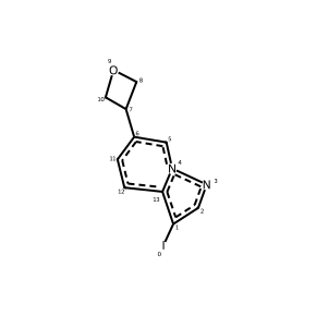 Ic1cnn2cc(C3COC3)ccc12